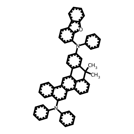 CC1(C)c2cc(N(c3ccccc3)c3cccc4c3oc3ccccc34)ccc2-c2cc3c4ccccc4c(N(c4ccccc4)c4ccccc4)cc3c3cccc1c23